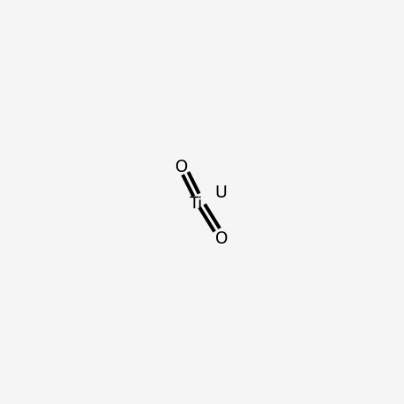 [O]=[Ti]=[O].[U]